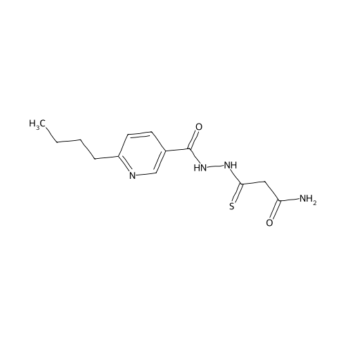 CCCCc1ccc(C(=O)NNC(=S)CC(N)=O)cn1